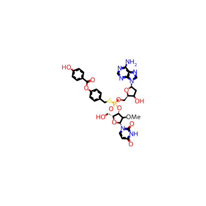 COC1[C@@H](OP(=O)(OC[C@H]2O[C@@H](n3cnc4c(N)ncnc43)CC2O)SCc2ccc(OC(=O)c3ccc(O)cc3)cc2)[C@@H](CO)O[C@H]1n1ccc(=O)[nH]c1=O